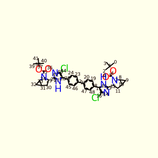 CC(C)(C)OC(=O)N1C2CC2C[C@H]1c1nc(Cl)c(-c2ccc(-c3ccc(-c4[nH]c([C@@H]5CC6CC6N5C(=O)OC(C)(C)C)nc4Cl)cc3)cc2)[nH]1